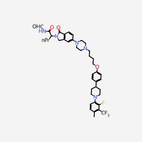 CCCC(C(=O)NC=O)N1Cc2cc(N3CCN(CCCCOc4ccc(C5CCN(c6ccc(C)c(C(F)(F)F)c6F)CC5)cc4)CC3)ccc2C1=O